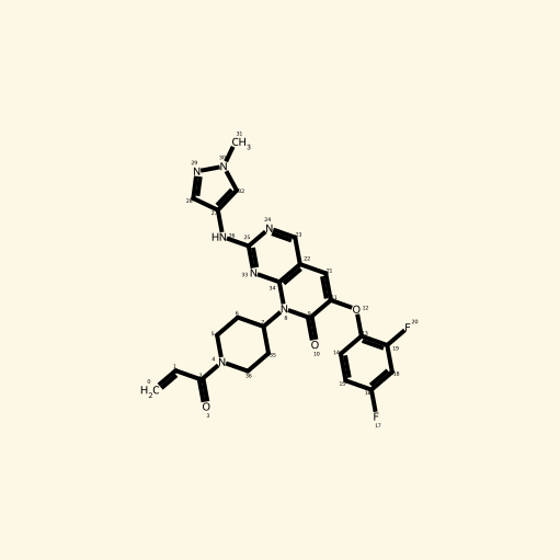 C=CC(=O)N1CCC(n2c(=O)c(Oc3ccc(F)cc3F)cc3cnc(Nc4cnn(C)c4)nc32)CC1